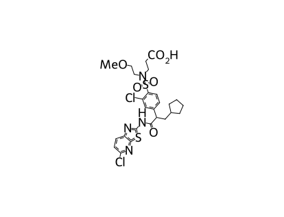 COCCN(CCC(=O)O)S(=O)(=O)c1ccc(C(CC2CCCC2)C(=O)Nc2nc3ccc(Cl)nc3s2)cc1Cl